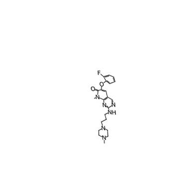 CN1CCN(CCCNc2ncc3cc(Oc4ccccc4F)c(=O)n(C)c3n2)CC1